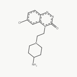 NC1CCN(CCn2c(=O)nnc3ccc(Cl)cc32)CC1